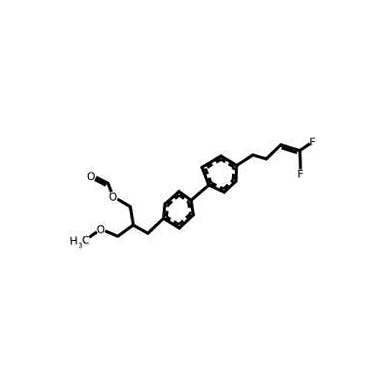 COCC(COC=O)Cc1ccc(-c2ccc(CCC=C(F)F)cc2)cc1